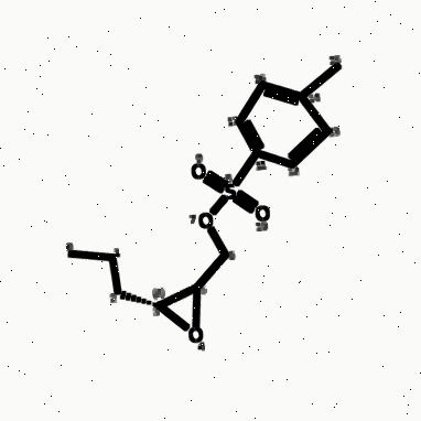 CCC[C@H]1OC1COS(=O)(=O)c1ccc(C)cc1